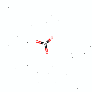 [O]=[W](=[O])=[O]